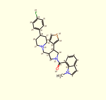 Cn1ccc2cccc(C(=O)N3CC(CN4CCC(c5ccc(F)cc5)CC4)C(c4ccsc4)C3)c21